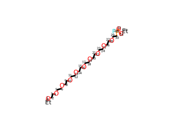 CCOCCOCCOCCOCCOCCOCCOCCOCCOCCOCCP(=O)(F)OCC